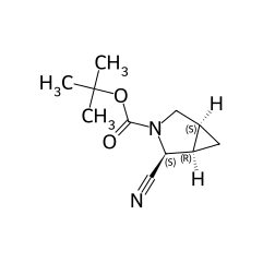 CC(C)(C)OC(=O)N1C[C@H]2C[C@H]2[C@H]1C#N